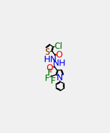 O=C(NNC(=O)c1sccc1Cl)c1ccn(-c2ccccc2)c1C(F)(F)F